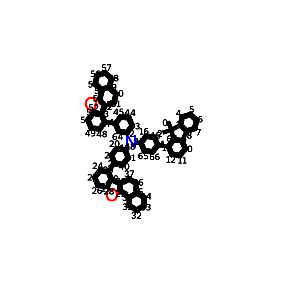 CC1(C)c2ccccc2-c2cccc(-c3ccc(N(c4ccc(-c5cccc6oc7c8ccccc8ccc7c56)cc4)c4cccc(-c5cccc6oc7c8ccccc8ccc7c56)c4)cc3)c21